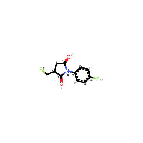 O=C1CC(CF)C(=O)N1c1ccc(F)cc1